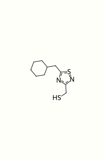 SCc1nsc(CC2CCCCC2)n1